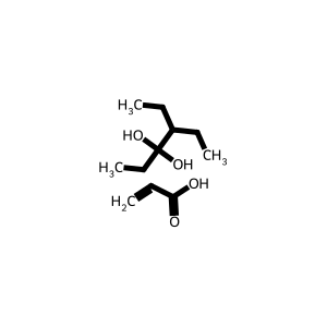 C=CC(=O)O.CCC(CC)C(O)(O)CC